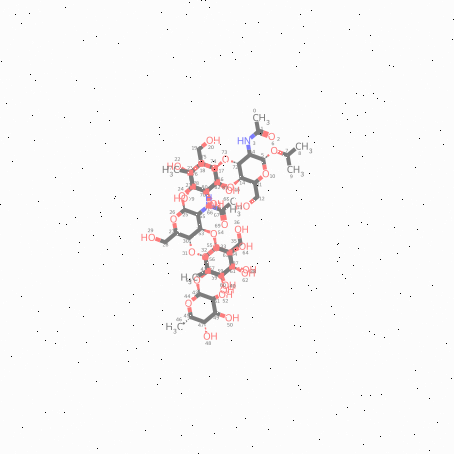 CC(=O)NC1[C@H](OC(C)C)OC(CO)[C@@H](O[C@@H]2OC(CO)[C@H](O)C(O[C@@H]3OC(CO)[C@@H](O[C@@H]4OC(CO)[C@H](O)C(O)C4O[C@@H]4O[C@@H](C)[C@@H](O)C(O)C4O)[C@H](O[C@@H]4OC(C)[C@@H](O)[C@H](O)C4O)C3NC(C)=O)C2O)[C@@H]1O[C@@H]1OC(C)[C@@H](O)[C@H](O)C1O